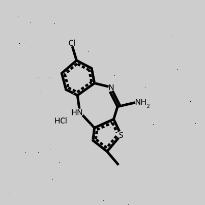 Cc1cc2c(s1)C(N)=Nc1cc(Cl)ccc1N2.Cl